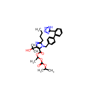 CCCCc1nc(C(C)(C)O)c(C(=O)OC(C)OC(=O)OC(C)C)n1Cc1ccc(-c2ccccc2-c2nnn[nH]2)cc1